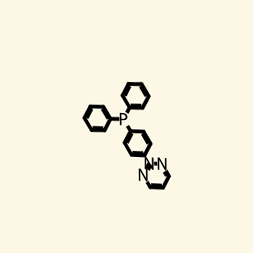 c1ccc(P(c2ccccc2)c2ccccc2)cc1.c1cnnnc1